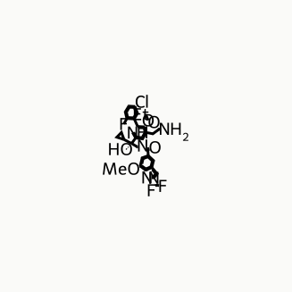 CCOc1c(CC(N)=O)cc([C@@](O)(CNC(=O)c2cc(OC)c3nn(C(F)F)cc3c2)C2CC2)nc1-c1cc(Cl)ccc1F